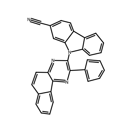 N#Cc1ccc2c3ccccc3n(-c3nc4ccc5ccccc5c4nc3-c3ccccc3)c2c1